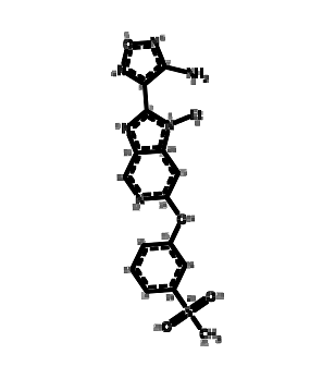 CCn1c(-c2nonc2N)nc2cnc(Oc3cccc(S(C)(=O)=O)c3)cc21